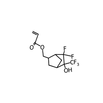 C=CC(=O)OCC1CC2CC1C(F)(F)C2(O)C(F)(F)F